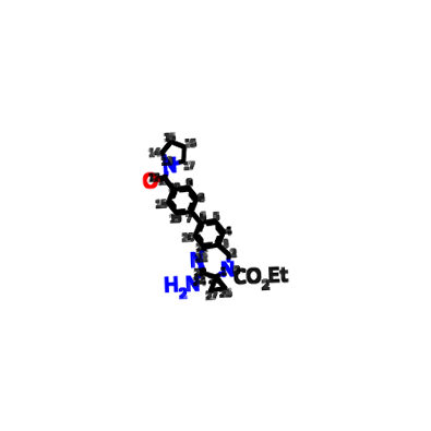 CCOC(=O)N1Cc2ccc(-c3ccc(C(=O)N4CCCC4)cc3)cc2N=C(N)C12CC2